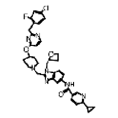 O=C(Nc1ccc2c(c1)nc(CN1CCC(Oc3ccnc(Cc4ccc(Cl)cc4F)n3)CC1)n2C[C@@H]1CCO1)c1ccc(C2CC2)nc1